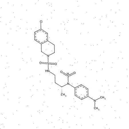 C[C@H](CCNS(=O)(=O)N1CCc2cc(Cl)ccc2C1)N(c1ccc(N(C)C)cc1)[SH](=O)=O